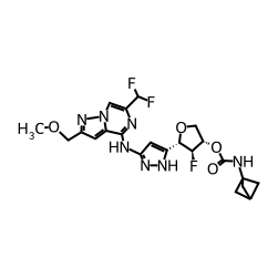 COCc1cc2c(Nc3cc([C@@H]4OC[C@H](OC(=O)NC56CC(C5)C6)[C@H]4F)[nH]n3)nc(C(F)F)cn2n1